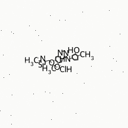 COc1cc2c(Nc3ccc(C)c(O)c3)ncnc2cc1OCc1csc(C)n1.Cl